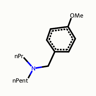 CCCCCN(CCC)Cc1ccc(OC)cc1